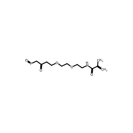 C=C(C)C(=O)NCCOCCOCCC(=O)CP=O